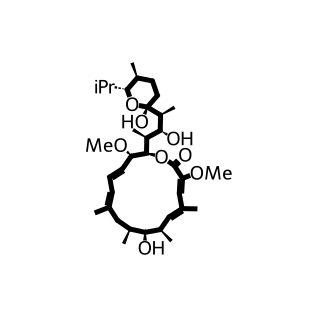 CO/C1=C\C(C)=C\[C@@H](C)[C@@H](O)[C@@H](C)C/C(C)=C/C=C/[C@H](OC)[C@@H]([C@@H](C)[C@@H](O)[C@H](C)[C@@]2(O)CC[C@H](C)[C@@H](C(C)C)O2)OC1=O